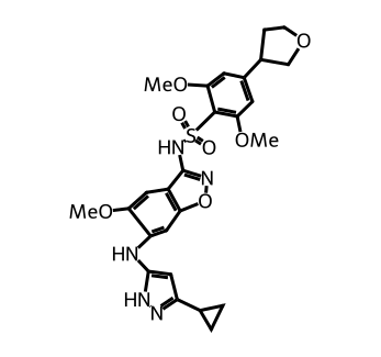 COc1cc2c(NS(=O)(=O)c3c(OC)cc(C4CCOC4)cc3OC)noc2cc1Nc1cc(C2CC2)n[nH]1